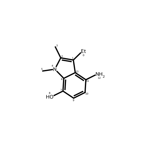 CCc1c(C)n(C)c2c(O)ccc(N)c12